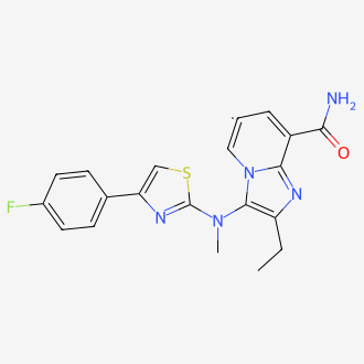 CCc1nc2c(C(N)=O)c[c]cn2c1N(C)c1nc(-c2ccc(F)cc2)cs1